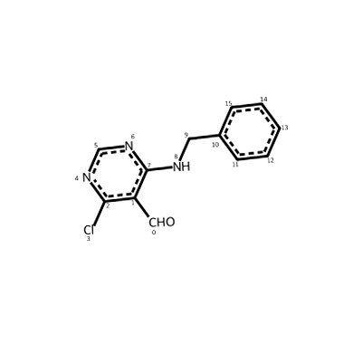 O=Cc1c(Cl)ncnc1NCc1ccccc1